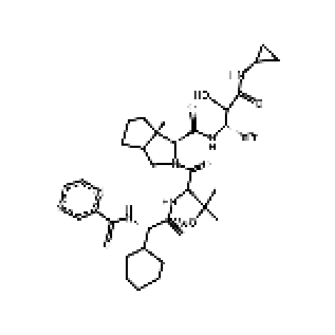 C=C(NC(C(=O)N1CC2CCC[C@@H]2[C@H]1C(=O)N[C@@H](CCC)C(O)C(=O)NC1CC1)C(C)(C)OC)[C@@H](NC(=O)c1cnccn1)C1CCCCC1